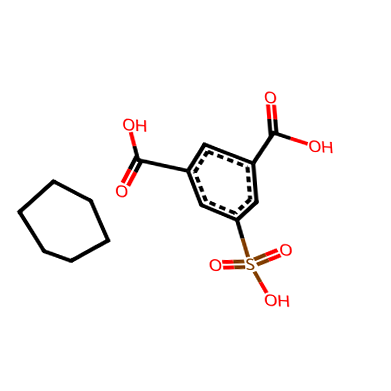 C1CCCCC1.O=C(O)c1cc(C(=O)O)cc(S(=O)(=O)O)c1